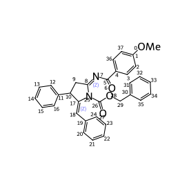 COc1ccc(C(=O)/N=C2/CC(c3ccccc3)/C(=C/c3ccccc3)N2C(=O)OCc2ccccc2)cc1